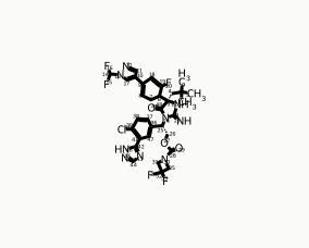 CC(C)(C)C[C@]1(C2CC=C(c3cnn(C(F)F)c3)C=C2F)NC(=N)N([C@H](COC(=O)N2CC(F)(F)C2)c2ccc(Cl)c(-c3ncn[nH]3)c2)C1=O